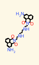 Nc1cc2c3c(cccc3c1)C(=O)N(CCNCCCNCCN1C(=O)c3cccc4cc(N)cc(c34)C1=O)C2=O